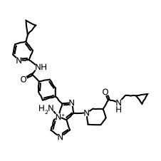 N[N+]12C=CN=CC1=C(N1CCCC(C(=O)NCC3CC3)C1)N=C2c1ccc(C(=O)Nc2cc(C3CC3)ccn2)cc1